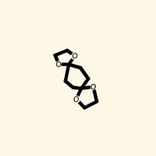 C1COC2(CCC3(CC2)OCCO3)O1